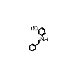 Oc1cccc(NC=Cc2ccccc2)c1